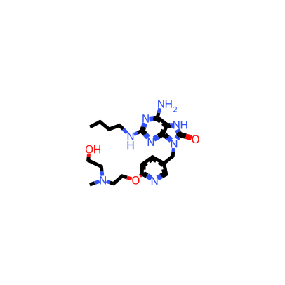 CCCCNc1nc(N)c2[nH]c(=O)n(Cc3ccc(OCCN(C)CCO)nc3)c2n1